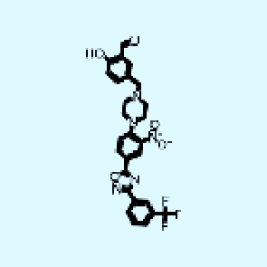 O=Cc1cc(CN2CCN(c3ccc(-c4nc(-c5cccc(C(F)(F)F)c5)no4)cc3[N+](=O)[O-])CC2)ccc1O